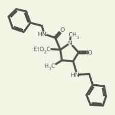 CCOC(=O)C1(C(=O)NCc2ccccc2)C(C)C(NCc2ccccc2)C(=O)N1C